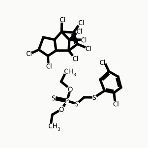 CCOP(=S)(OCC)SCSc1cc(Cl)ccc1Cl.ClC1=C(Cl)C2(Cl)C3C(Cl)C(Cl)CC3C1(Cl)C2(Cl)Cl